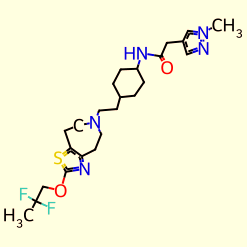 Cn1cc(CC(=O)NC2CCC(CCN3CCc4nc(OCC(C)(F)F)sc4CC3)CC2)cn1